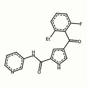 CCc1cccc(F)c1C(=O)c1c[nH]c(C(=O)Nc2cccnc2)c1